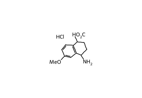 COc1ccc2c(c1)C(N)CCC2C(=O)O.Cl